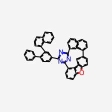 c1ccc(-c2ccc3oc4cccc(-c5nc(-c6ccccc6)nc(-c6ccc(-c7ccccc7)c(-c7cccc8ccccc78)c6)n5)c4c3c2)cc1